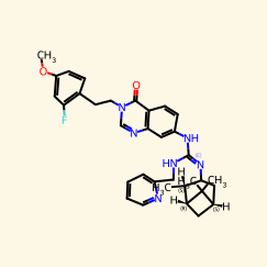 COc1ccc(CCn2cnc3cc(N/C(=N/C4C[C@@H]5C[C@H]([C@@H]4C)C5(C)C)NCc4ccccn4)ccc3c2=O)c(F)c1